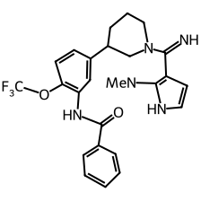 CNc1[nH]ccc1C(=N)N1CCCC(c2ccc(OC(F)(F)F)c(NC(=O)c3ccccc3)c2)C1